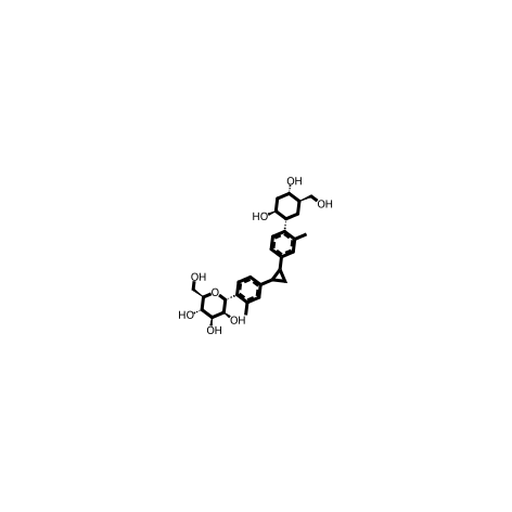 Cc1cc(C2CC2c2ccc([C@H]3O[C@H](CO)[C@@H](O)[C@H](O)[C@@H]3O)c(C)c2)ccc1[C@H]1C[C@H](CO)[C@@H](O)C[C@@H]1O